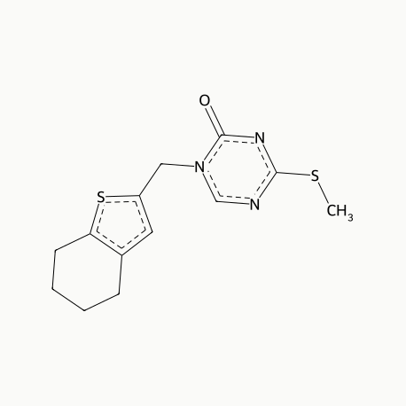 CSc1ncn(Cc2cc3c(s2)CCCC3)c(=O)n1